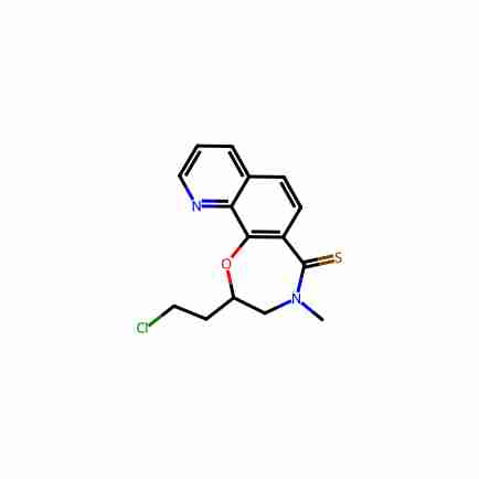 CN1CC(CCCl)Oc2c(ccc3cccnc23)C1=S